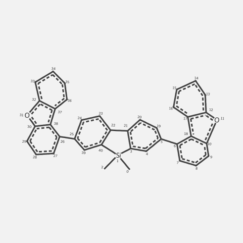 C[Si]1(C)c2cc(-c3cccc4oc5ccccc5c34)ccc2-c2ccc(-c3cccc4oc5ccccc5c34)cc21